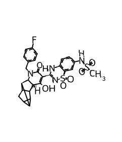 CS(=O)(=O)Nc1ccc2c(c1)S(=O)(=O)N=C(C1=C(O)[C@@H]3C4C5CC6C(C64)C5C3N(Cc3ccc(F)cc3)C1=O)N2